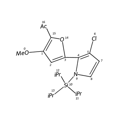 COc1cc(-c2c(Cl)ccn2[Si](C(C)C)(C(C)C)C(C)C)oc1C(C)=O